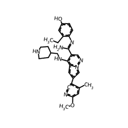 CCc1cc(O)ccc1/N=C(\N)c1cnn2cc(-c3cnc(OC)cc3C)cc2c1NCC1CCNCC1